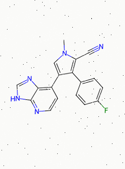 Cn1cc(-c2ccnc3[nH]cnc23)c(-c2ccc(F)cc2)c1C#N